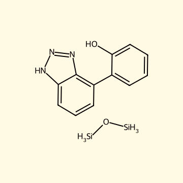 Oc1ccccc1-c1cccc2[nH]nnc12.[SiH3]O[SiH3]